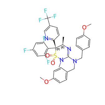 COc1ccc(CN(Cc2ccc(OC)cc2)C2=N[C@H](C)[C@@](c3ccc(C(F)(F)F)cn3)(c3c(F)cc(F)cc3F)S(=O)(=O)N2C)cc1